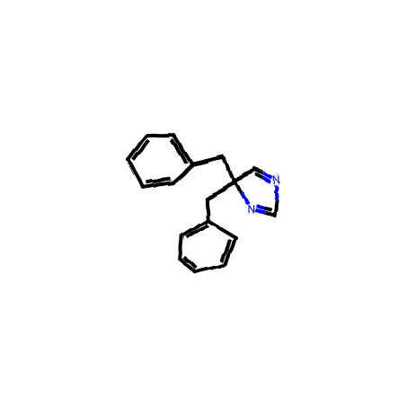 C1=NC=NC1(Cc1ccccc1)Cc1ccccc1